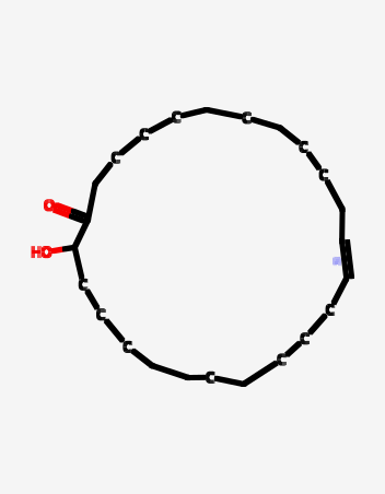 O=C1CCCCCCCCCC/C=C\CCCCCCCCCCC1O